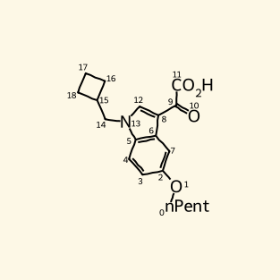 CCCCCOc1ccc2c(c1)c(C(=O)C(=O)O)cn2CC1CCC1